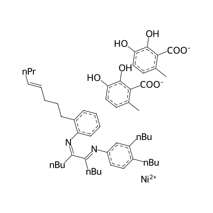 CCCC=CCCCc1ccccc1N=C(CCCC)C(CCCC)=Nc1ccc(CCCC)c(CCCC)c1.Cc1ccc(O)c(O)c1C(=O)[O-].Cc1ccc(O)c(O)c1C(=O)[O-].[Ni+2]